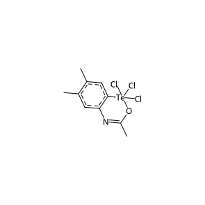 CC1=Nc2cc(C)c(C)cc2[Te](Cl)(Cl)(Cl)O1